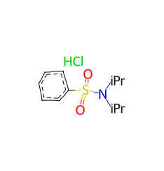 CC(C)N(C(C)C)S(=O)(=O)c1ccccc1.Cl